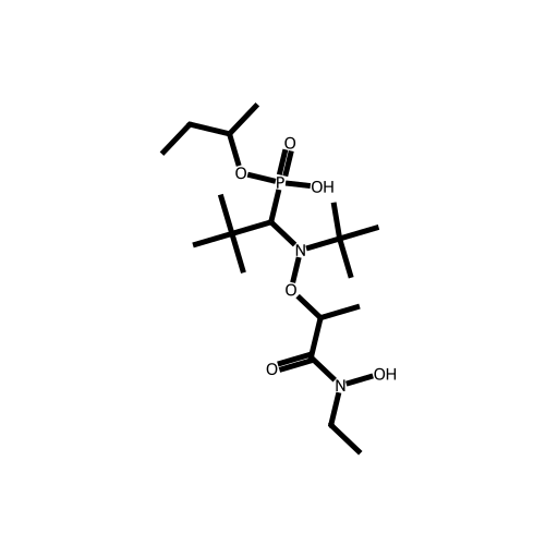 CCC(C)OP(=O)(O)C(N(OC(C)C(=O)N(O)CC)C(C)(C)C)C(C)(C)C